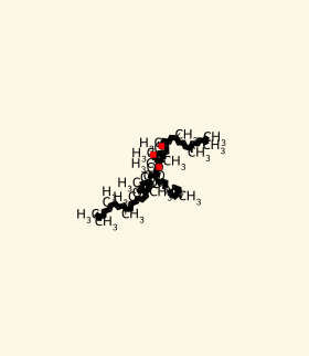 Cc1c(C)c2c(c(C)c1OC(=O)C(OC(=O)CCN1CCN(C)CC1)C(=O)Oc1c(C)c(C)c3c(c1C)CC[C@@](C)(CCC[C@H](C)CCC[C@H](C)CCCC(C)C)O3)CC[C@@](C)(CCC[C@H](C)CCC[C@H](C)CCCC(C)C)O2